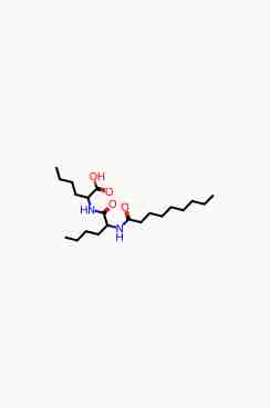 CCCCCCCCC(=O)NC(CCCC)C(=O)NC(CCCC)C(=O)O